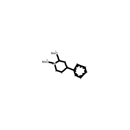 COC1CC(c2ccccc2)CCN1OC